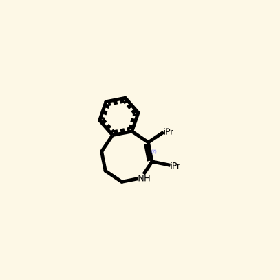 CC(C)/C1=C(\C(C)C)c2ccccc2CCCN1